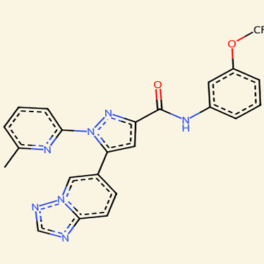 Cc1cccc(-n2nc(C(=O)Nc3cccc(OC(F)(F)F)c3)cc2-c2ccc3ncnn3c2)n1